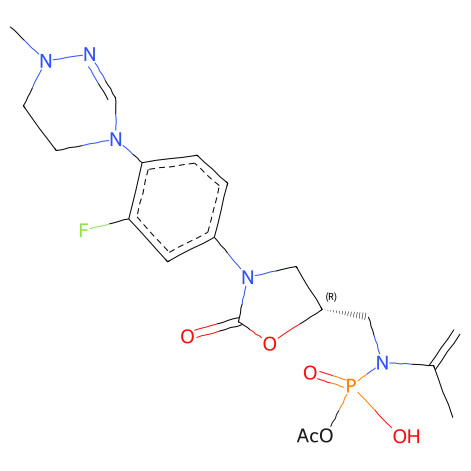 C=C(C)N(C[C@H]1CN(c2ccc(N3C=NN(C)CC3)c(F)c2)C(=O)O1)P(=O)(O)OC(C)=O